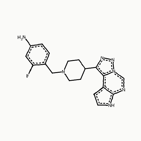 Nc1ccc(CN2CCC(c3nnn4cnc5[nH]ccc5c34)CC2)c(F)c1